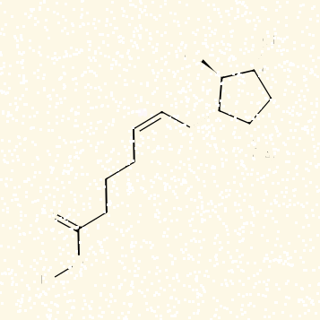 CCCCCCCC[C@@H]1[C@@H](C/C=C\CCCC(=O)OC(C)C)[C@@H](OC(C)=O)C[C@H]1O